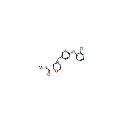 CNC(=O)[C@@H]1CN(Cc2ccc(Oc3ccccc3Cl)nc2)CCO1